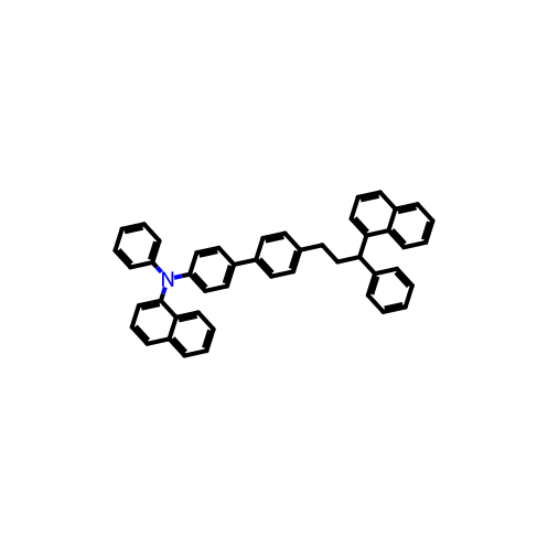 c1ccc(C(CCc2ccc(-c3ccc(N(c4ccccc4)c4cccc5ccccc45)cc3)cc2)c2cccc3ccccc23)cc1